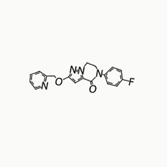 O=C1c2cc(OCc3ccccn3)nn2CCN1c1ccc(F)cc1